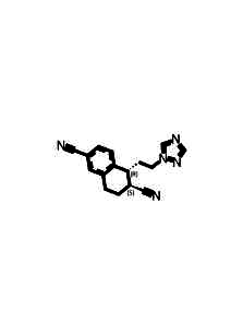 N#Cc1ccc2c(c1)CC[C@H](C#N)[C@H]2CCn1cncn1